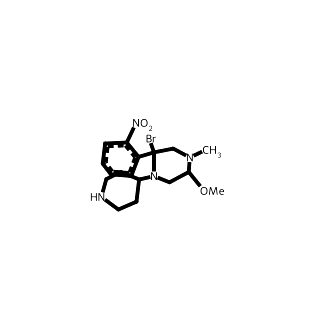 COC1CN(C2CCNCC2)C(Br)(c2ccccc2[N+](=O)[O-])CN1C